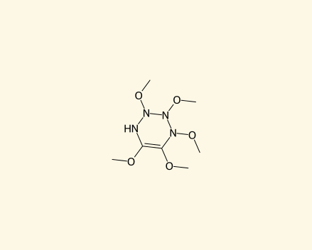 COc1[nH]n(OC)n(OC)n(OC)c1OC